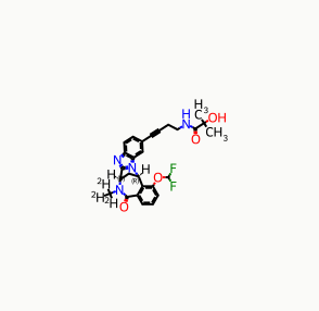 [2H]C([2H])([2H])N1C(=O)c2cccc(OC(F)F)c2[C@H]2C[C@@H]1c1nc3ccc(C#CCCNC(=O)C(C)(C)O)cc3n12